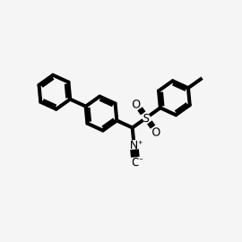 [C-]#[N+]C(c1ccc(-c2ccccc2)cc1)S(=O)(=O)c1ccc(C)cc1